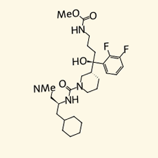 CNC[C@H](CC1CCCCC1)NC(=O)N1CCC[C@@H]([C@](O)(CCCNC(=O)OC)c2cccc(F)c2F)C1